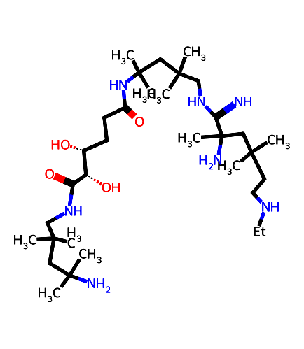 CCNCCC(C)(C)CC(C)(N)C(=N)NCC(C)(C)CC(C)(C)NC(=O)CC[C@@H](O)[C@H](O)C(=O)NCC(C)(C)CC(C)(C)N